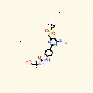 CC(C)(CO)NC(=O)Nc1ccc(-c2nc(N)cc(CS(=O)(=O)C3CC3)n2)cc1